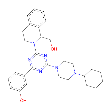 OCC1c2ccccc2CCN1c1nc(-c2cccc(O)c2)nc(N2CCN(C3CCCCC3)CC2)n1